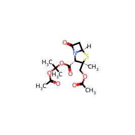 CC(=O)OC[C@]1(C)S[C@@H]2CC(=O)N2[C@H]1C(=O)OC(C)(C)OC(C)=O